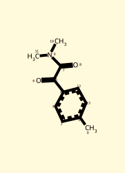 Cc1ccc(C(=O)C(=O)N(C)C)cc1